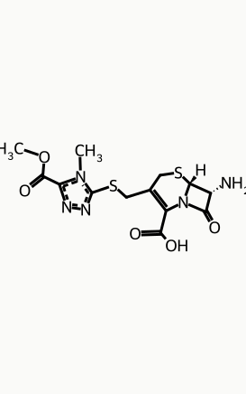 COC(=O)c1nnc(SCC2=C(C(=O)O)N3C(=O)[C@@H](N)[C@H]3SC2)n1C